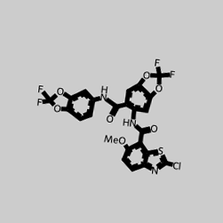 COc1ccc2nc(Cl)sc2c1C(=O)Nc1cc2c(cc1C(=O)Nc1ccc3c(c1)OC(F)(F)O3)OC(F)(F)O2